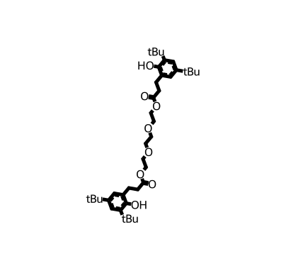 CC(C)(C)c1cc(CCC(=O)OCCOCCOCCOC(=O)CCc2cc(C(C)(C)C)cc(C(C)(C)C)c2O)c(O)c(C(C)(C)C)c1